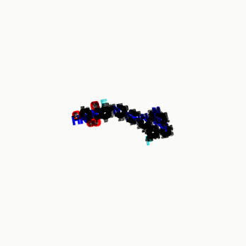 O=C1CCC(N2C(=O)c3ccc(CN4CCC(N5CCN(c6cccc(-c7cnc8ccc(N9CCC[C@@H]9c9cccc(F)c9)nn78)n6)CC5)CC4)c(F)c3C2=O)C(=O)N1